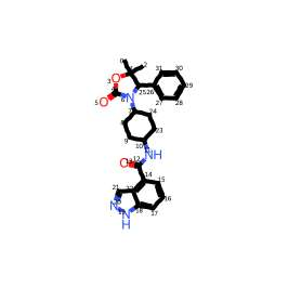 CC1(C)OC(=O)N(C2CCC(NC(=O)c3cccc4[nH]ncc34)CC2)C1c1ccccc1